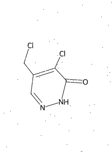 O=c1[nH]ncc(CCl)c1Cl